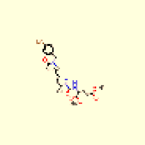 CCCCCCC(=O)N(CCCCC(NC(=O)NC(CCC(=O)OC(C)(C)C)C(=O)OC(C)(C)C)C(C)=O)Cc1ccc(Br)cc1